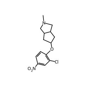 CN1CC2CC(Oc3ccc([N+](=O)[O-])cc3Cl)CC2C1